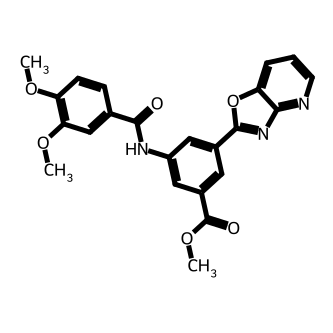 COC(=O)c1cc(NC(=O)c2ccc(OC)c(OC)c2)cc(-c2nc3ncccc3o2)c1